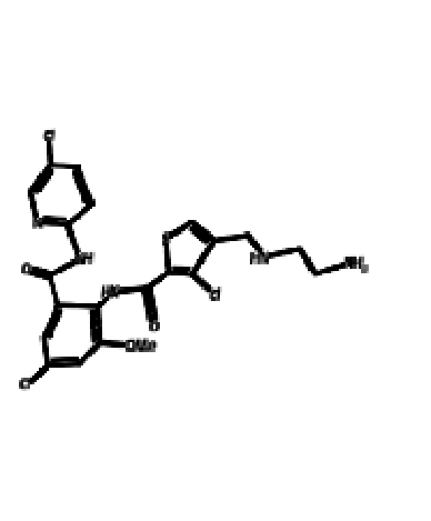 COc1cc(Cl)cc(C(=O)Nc2ccc(Cl)cn2)c1NC(=O)c1scc(CNCCN)c1Cl